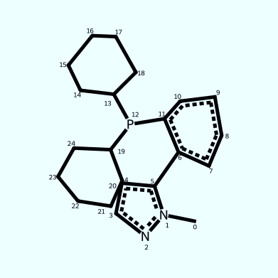 Cn1nccc1-c1ccccc1P(C1CCCCC1)C1CCCCC1